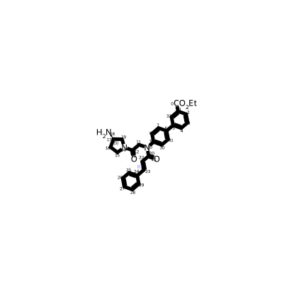 CCOC(=O)c1cccc(-c2ccc(N(CC(=O)N3CC[C@H](N)C3)C(=O)/C=C/c3ccccc3)cc2)c1